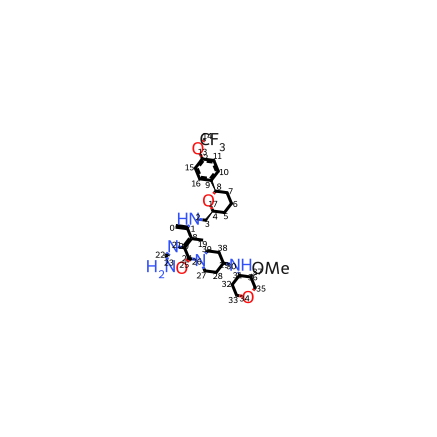 C=C(NC[C@@H]1CCC[C@H](c2ccc(OC(F)(F)F)cc2)O1)/C(C)=C(\N=C/N)C(=O)N1CCC(N[C@H]2CCOCC2OC)CC1